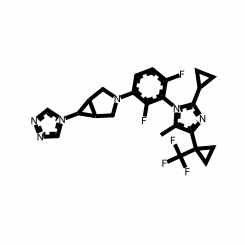 Cc1c(C2(C(F)(F)F)CC2)nc(C2CC2)n1-c1c(F)ccc(N2CC3C(C2)C3n2cnnc2)c1F